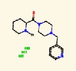 CCN1CCCCC1C(=O)N1CCN(Cc2cccnc2)CC1.Cl.Cl.Cl